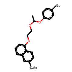 CCC(C)c1ccc(OC(C)OCCOc2cccc3cc(OC)ccc23)cc1